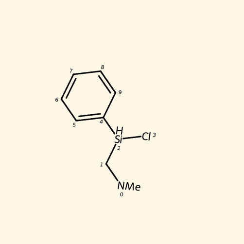 CNC[SiH](Cl)c1ccccc1